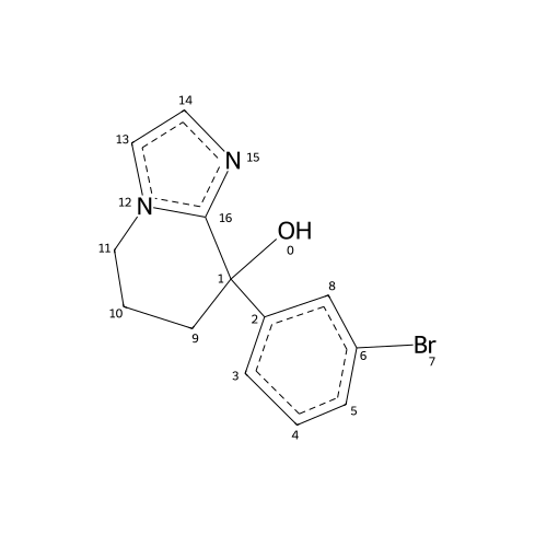 OC1(c2cccc(Br)c2)CCCn2ccnc21